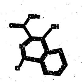 COC(=O)c1nc(Cl)c2ccccc2c1O